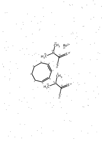 C1=C\CCCC\C=C/1.CN(C)C(=S)[S-].CN(C)C(=S)[S-].[Ru+2]